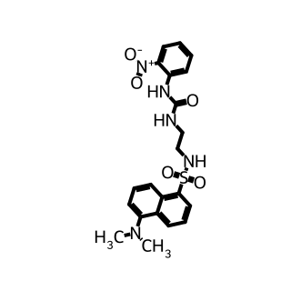 CN(C)c1cccc2c(S(=O)(=O)NCCNC(=O)Nc3ccccc3[N+](=O)[O-])cccc12